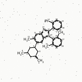 C=C1CC(C)CC(c2cc3c(cc2C)nc(-c2ccccc2C(C)C)n3-c2c(C)cccc2C)C1